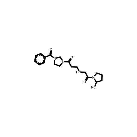 N#CC1CCCN1C(=O)CNCCC(=O)N1CCN(C(=O)c2ccccc2)C1